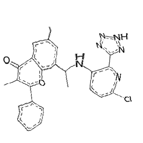 Cc1cc(C(C)Nc2ccc(Cl)nc2-c2nn[nH]n2)c2oc(-c3ccccc3)c(C)c(=O)c2c1